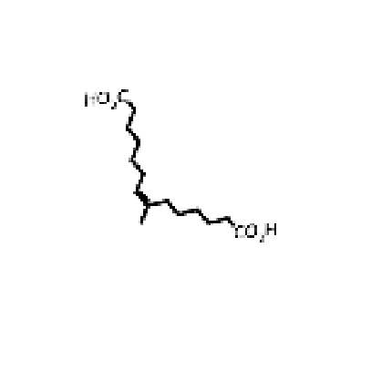 CC(=CCCCCCC(=O)O)CCCCCC(=O)O